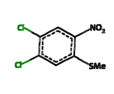 CSc1cc(Cl)c(Cl)cc1[N+](=O)[O-]